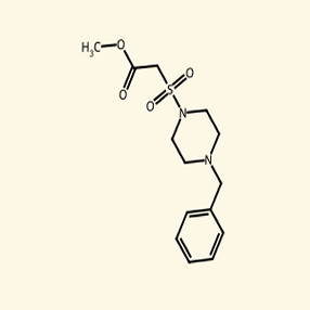 COC(=O)CS(=O)(=O)N1CCN(Cc2ccccc2)CC1